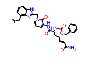 CC(C)Cc1cccc2[nH]c(Cn3cccc(NC(=O)C(CCC=CC(N)=O)NC(=O)OCc4ccccc4)c3=O)nc12